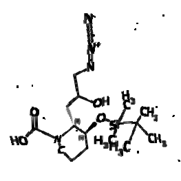 CC(C)(C)[Si](C)(C)O[C@H]1CCCN(C(=O)O)[C@@H]1CC(O)CN=[N+]=[N-]